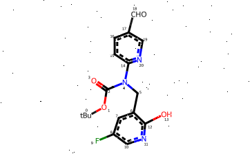 CC(C)(C)OC(=O)N(Cc1cc(F)cnc1O)c1ccc(C=O)cn1